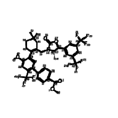 COC(=O)c1ccc(-c2cc(C3=C(CN4C(=O)OC(c5cc(C(F)(F)F)cc(C(F)(F)F)c5)[C@@H]4C)CC(C)(C)CC3)c(OC)cc2C(F)(F)F)cc1